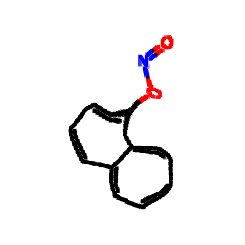 O=NOc1cccc2ccccc12